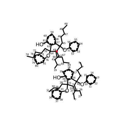 CCCCC(CCCC)(Oc1ccccc1)c1cccc(O)c1C(CCCC)(CCCC)Oc1ccccc1.CCCCCC(CCCCC)(Oc1ccccc1)c1cccc(O)c1C(CCCCC)(CCCCC)Oc1ccccc1